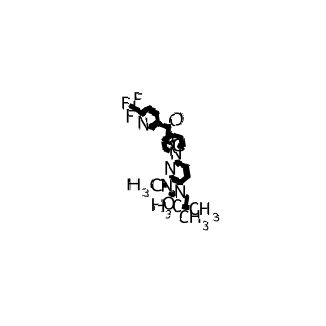 Cn1c(=O)n(CC(C)(C)C)c2ccc(N3CC4CCC3CN4C(=O)c3ccc(C(F)(F)F)nc3)nc21